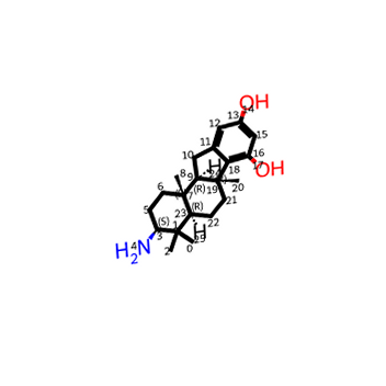 CC1(C)[C@@H](N)CC[C@]2(C)[C@H]3Cc4cc(O)cc(O)c4[C@]3(C)CC[C@@H]12